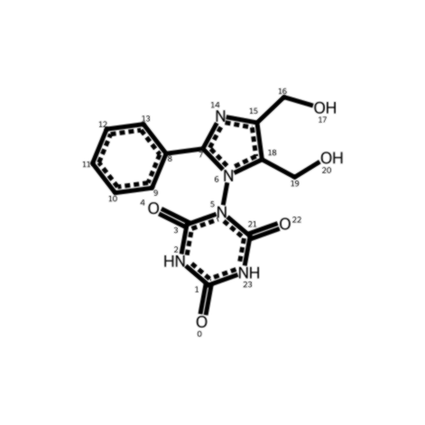 O=c1[nH]c(=O)n(-n2c(-c3ccccc3)nc(CO)c2CO)c(=O)[nH]1